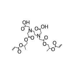 C=CC(=O)OC(C)COC(=O)CN(CCN(CC(=O)O)CC(=O)OCC(C)OC(=O)C=C)CC(=O)O